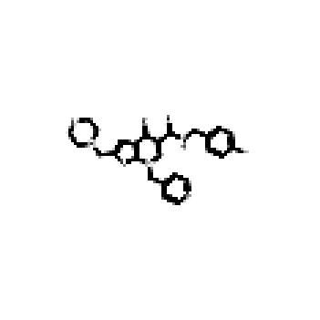 S=C(NCc1ccc(Cl)cc1)c1cn(Cc2ccncc2)c2sc(CN3CCOCC3)cc2c1=S